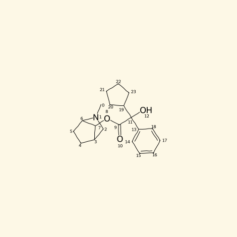 CN1CC2CCC1C2OC(=O)C(O)(c1ccccc1)C1CCCC1